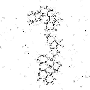 CC1(C)c2ccc(-c3c4ccccc4c(-c4cccc5ccccc45)c4ccccc34)cc2-c2ccc(-c3ccc4c(c3)C(C)(C)c3ccc5ccc6c7ccccc7sc6c5c3-4)cc21